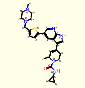 CC1C=C(c2c[nH]c3ncc(-c4ccc(CN5CCN(C)CC5)s4)cc23)CCN1C(=O)NC1CC1